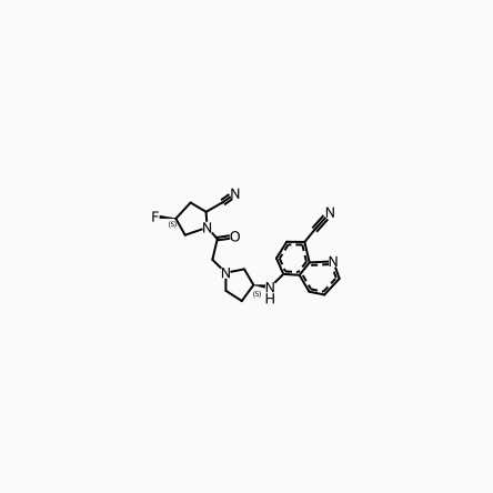 N#Cc1ccc(N[C@H]2CCN(CC(=O)N3C[C@@H](F)CC3C#N)C2)c2cccnc12